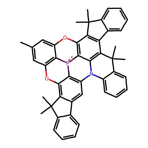 Cc1cc2c3c(c1)Oc1c4c(c5c6c1P3(=S)c1c(cc3c(c1O2)C(C)(C)c1ccccc1-3)N6c1ccccc1C5(C)C)-c1ccccc1C4(C)C